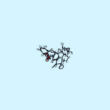 C=C(C(=O)N1CCN(C(C)=O)C(C(=O)N(C)C)C1)c1ccc(Sc2ccccc2C(C)C)c([N+](=O)[O-])c1